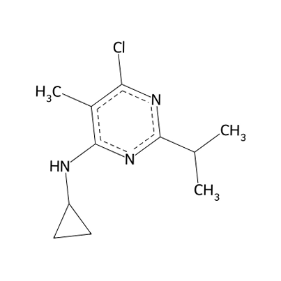 Cc1c(Cl)nc(C(C)C)nc1NC1CC1